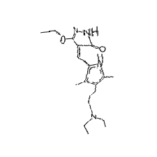 CCOC1=NNC(=O)C1=Cc1[nH]c(C)c(CCN(CC)CC)c1C